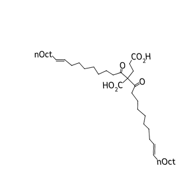 CCCCCCCCC=CCCCCCCCC(=O)C(CCC(=O)O)(C(=O)O)C(=O)CCCCCCCC=CCCCCCCCC